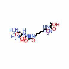 CC(O)[C@H](NC(=O)CCCCCCNC(=O)[C@H](CO)NC(=O)N[C@@H](CC(N)=O)C(N)=O)C(N)=O